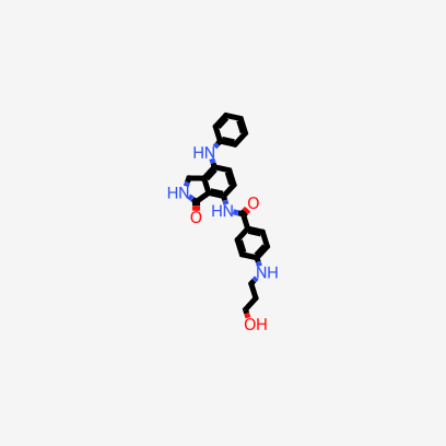 O=C(Nc1ccc(Nc2ccccc2)c2c1C(=O)NC2)c1ccc(NCCCO)cc1